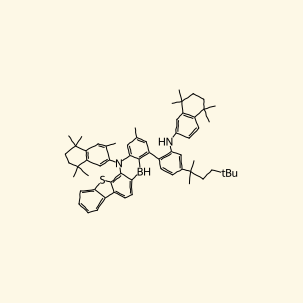 Cc1cc(-c2ccc(C(C)(C)CCC(C)(C)C)cc2Nc2ccc3c(c2)C(C)(C)CCC3(C)C)c2c(c1)N(c1cc3c(cc1C)C(C)(C)CCC3(C)C)c1c(ccc3c1sc1ccccc13)B2